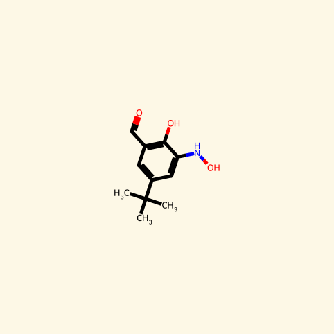 CC(C)(C)c1cc(C=O)c(O)c(NO)c1